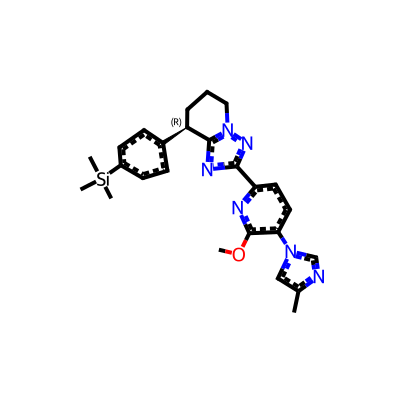 COc1nc(-c2nc3n(n2)CCC[C@@H]3c2ccc([Si](C)(C)C)cc2)ccc1-n1cnc(C)c1